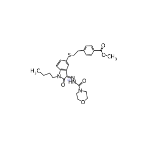 CCCCN1C(=O)/C(=N\NC(=O)N2CCOCC2)c2cc(SCCc3ccc(C(=O)OC)cc3)ccc21